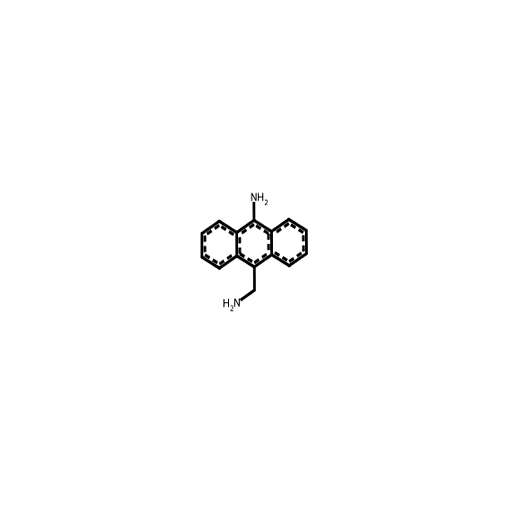 NCc1c2ccccc2c(N)c2ccccc12